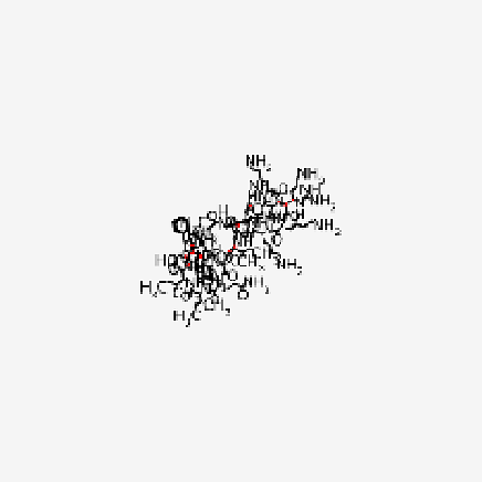 CC[C@H](C)[C@H](NC(=O)[C@@H](Cc1ccccc1)NC)C(=O)N[C@@H](CCCCNC(=O)[C@H](CCCCN)NC(=O)[C@H](CCCCN)NC(=O)[C@H](CCCCN)NC(=O)[C@H](CCCCN)NC(=O)[C@H](CCCCN)NC(=O)[C@@H](N)CCCNC(=N)N)C(=O)N[C@H](CCC(N)=O)C(=O)N[C@@H](C(=O)N[C@H](C(=O)N[C@@H](CO)C(=O)N[C@H]1C(=O)N[C@@H](C)C(=O)NC2(CC2CC(F)F)C(=O)N[C@@H]([C@@H](C)CC)C(=O)O[C@H]1C)[C@@H](C)CC)[C@@H](C)CC